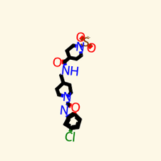 CS(=O)(=O)N1CCC(C(=O)NCC2CCN(c3nc4cc(Cl)ccc4o3)CC2)CC1